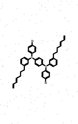 C=C/C=C/CCCc1cccc(N(c2ccc(Br)cc2)c2ccc(N(c3ccc(Br)cc3)c3cccc(CCC/C=C/C=C)c3)cc2)c1